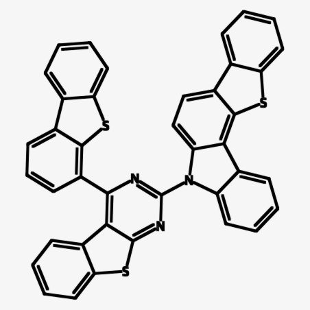 c1ccc2c(c1)sc1c(-c3nc(-n4c5ccccc5c5c6sc7ccccc7c6ccc54)nc4sc5ccccc5c34)cccc12